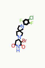 O=C1CC(N2CCC3(CCN(c4cc(F)c(Cl)cc4F)C3)CC2)C(Br)C(=O)N1